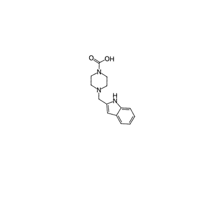 O=C(O)N1CCN(Cc2cc3ccccc3[nH]2)CC1